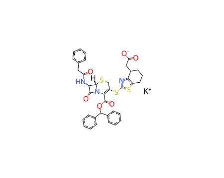 O=C([O-])CC1CCCc2sc(SC3=C(C(=O)OC(c4ccccc4)c4ccccc4)N4C(=O)[C@@H](NC(=O)Cc5ccccc5)[C@@H]4SC3)nc21.[K+]